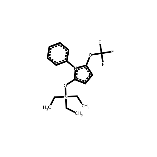 CC[Si](CC)(CC)Oc1ccc(OC(F)(F)F)n1-c1ccccc1